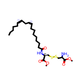 CCCCC/C=C\C/C=C\CCCCCCCC(=O)N[C@@H](CSSCC(N)C(=O)OC)C(=O)OC